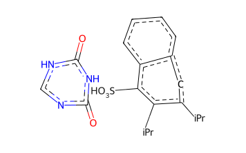 CC(C)c1cc2ccccc2c(S(=O)(=O)O)c1C(C)C.O=c1nc[nH]c(=O)[nH]1